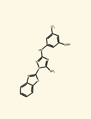 COc1cc(Nc2nc(N)n(-c3nc4ccccc4s3)n2)cc(C(F)(F)F)c1